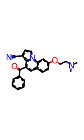 CN(C)CCOc1ccc2cc(C(=O)c3ccccc3)c3c(C#N)ccn3c2c1